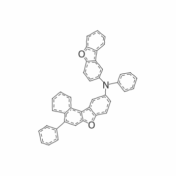 c1ccc(-c2cc3oc4ccc(N(c5ccccc5)c5ccc6oc7ccccc7c6c5)cc4c3c3ccccc23)cc1